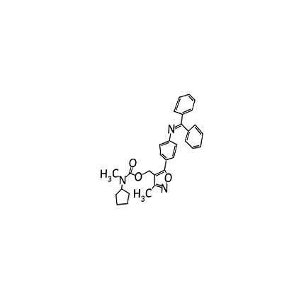 Cc1noc(-c2ccc(N=C(c3ccccc3)c3ccccc3)cc2)c1COC(=O)N(C)C1CCCC1